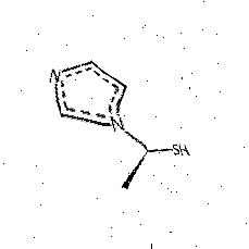 C[C@H](S)n1ccnc1